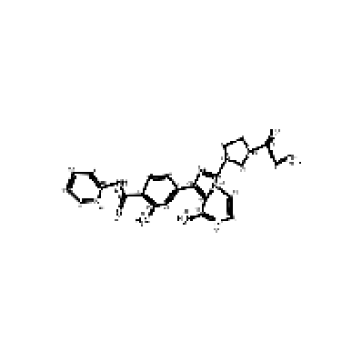 C=CC(=O)N1CCN(c2nc(-c3ccc(C(=O)Nc4ccccn4)c(C)c3)c3c(N)nccn23)C1